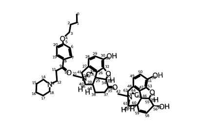 CCCCOc1ccc(C(=O)CCN2CCCCC2)cc1.CN1CC[C@]23c4c5ccc(O)c4O[C@H]2C(=O)CC[C@H]3[C@H]1C5.CN1CC[C@]23c4c5ccc(O)c4O[C@H]2[C@@H](O)C=C[C@H]3[C@H]1C5